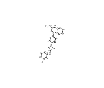 Nc1cc(-c2cnc(N3CC(Oc4cccc(F)c4)C3)nc2)c2nccnc2c1